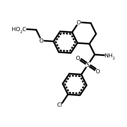 NC(C1CCOc2cc(OCC(=O)O)ccc21)S(=O)(=O)c1ccc(Cl)cc1